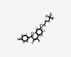 CC(=C(I)C(=O)c1ccc(C)cc1)c1ccc(OCCCC(F)(F)F)cc1